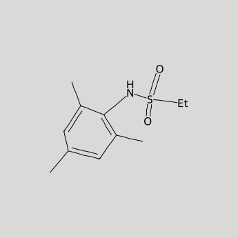 CCS(=O)(=O)Nc1c(C)cc(C)cc1C